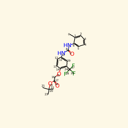 Cc1ccccc1NC(=O)Nc1ccc(OCC(=O)OC(C)(C)C)c(C(F)(F)F)c1